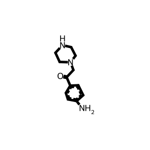 Nc1ccc(C(=O)CN2CCNCC2)cc1